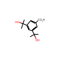 CC(C)(O)c1cc(C(=O)O)cc(C(C)(C)O)c1